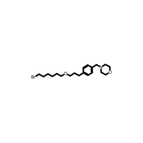 BrCCCCCCOCCCc1ccc(CN2CCOCC2)cc1